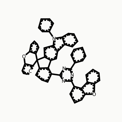 c1ccc(-c2nc(-c3cccc4c3-c3cc5c6ccccc6n(-c6ccccc6)c5cc3C43c4ccccc4Oc4ccccc43)nc(-c3cccc4oc5ccccc5c34)n2)cc1